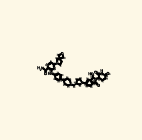 NC(=O)c1ncc(N2CCC3(COC3)C2)nc1Nc1ccc(C2CCN(C[C@H]3CCN(c4ccc5c(c4)C(O)N(C4CCC(=O)NC4=O)C5=O)C3)CC2)cc1